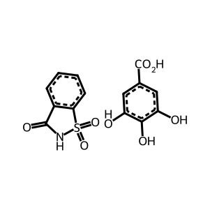 O=C(O)c1cc(O)c(O)c(O)c1.O=C1NS(=O)(=O)c2ccccc21